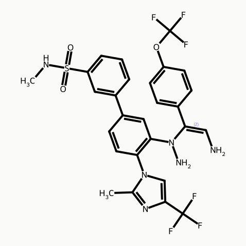 CNS(=O)(=O)c1cccc(-c2ccc(-n3cc(C(F)(F)F)nc3C)c(N(N)/C(=C\N)c3ccc(OC(F)(F)F)cc3)c2)c1